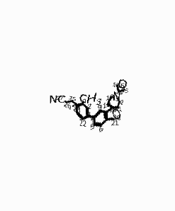 Cc1cc(-c2ccc3c(c2)C2(CCN(C4COC4)CC2)OC3)ccc1CCC#N